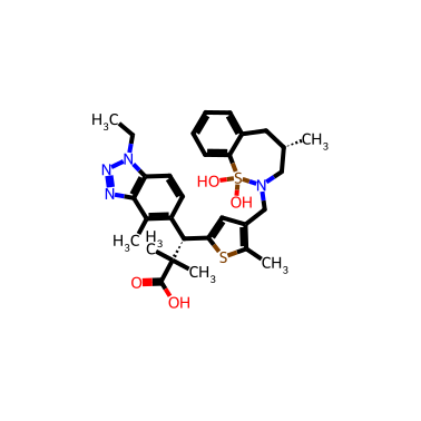 CCn1nnc2c(C)c([C@H](c3cc(CN4C[C@@H](C)Cc5ccccc5S4(O)O)c(C)s3)C(C)(C)C(=O)O)ccc21